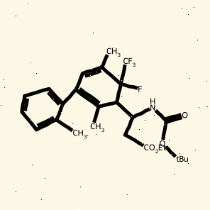 CCOC(=O)CC(NC(=O)OC(C)(C)C)C1C(C)=C(c2ccccc2C)C=C(C)C1(F)C(F)(F)F